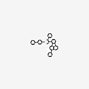 c1ccc(-c2ccc(-c3ncc(-c4cccc5c4-c4cc6oc7ccccc7c6c6cccc-5c46)c(-c4ccccc4)n3)cc2)cc1